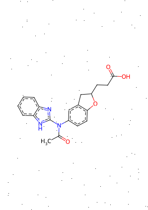 CC(=O)N(c1ccc2c(c1)CC(CCC(=O)O)O2)c1nc2ccccc2[nH]1